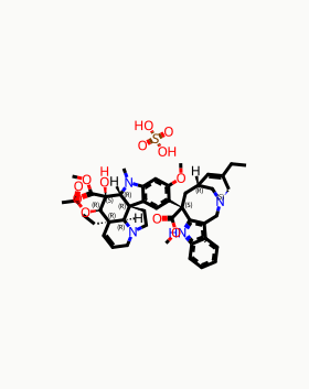 CCC1=C[C@@H]2C[N@](C1)Cc1c([nH]c3ccccc13)[C@@](C(=O)OC)(c1cc3c(cc1OC)N(C)[C@H]1[C@@](O)(C(=O)OC)[C@H](OC(C)=O)[C@]4(CC)C=CCN5CC[C@]31[C@@H]54)C2.O=S(=O)(O)O